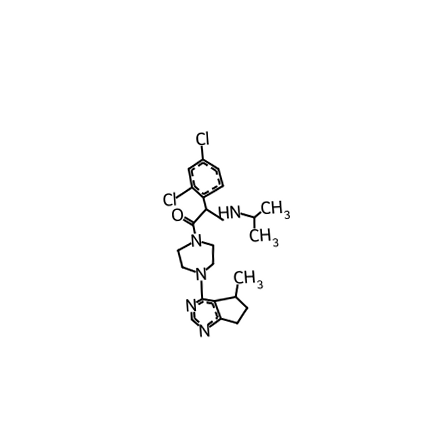 CC(C)NCC(C(=O)N1CCN(c2ncnc3c2C(C)CC3)CC1)c1ccc(Cl)cc1Cl